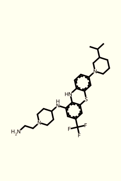 CC(C)C1CCCN(c2ccc3c(c2)Sc2cc(C(F)(F)F)cc(NC4CCN(CCN)CC4)c2N3)C1